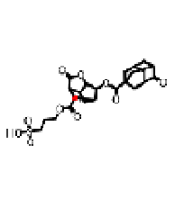 O=C1C2CC3CC1CC(C(=O)OC1C4C[C@H]5C1OC(=O)C5C4C(=O)OCCCS(=O)(=O)O)(C3)C2